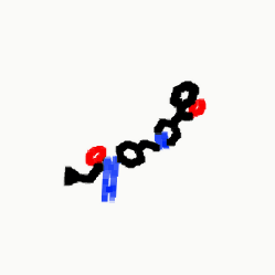 O=C(CC1CC1)NC1CCC(CCN2CCC(c3coc4ccccc34)CC2)CC1